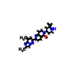 Cc1cn2nc(-c3ccc4c(=O)n([C@H]5CCNC6(CC6)C5)ccc4n3)cc(C)c2n1